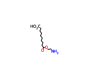 NCCOC(=O)CCCCCCCCC(=O)O